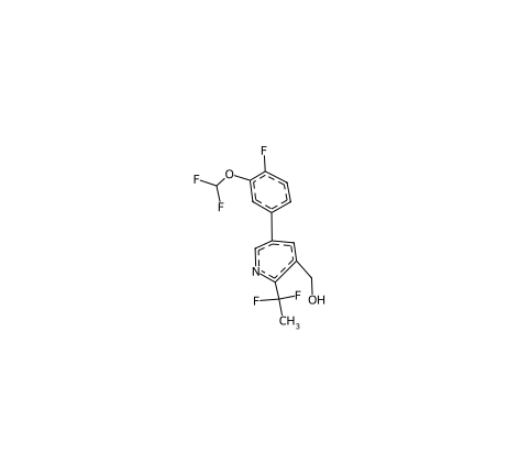 CC(F)(F)c1ncc(-c2ccc(F)c(OC(F)F)c2)cc1CO